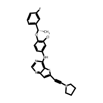 C[C@H](Oc1ccc(Nc2ncnc3cc(C#CN4CCCC4)sc23)cc1Cl)c1cccc(F)c1